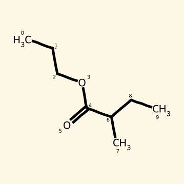 C[CH]COC(=O)C(C)CC